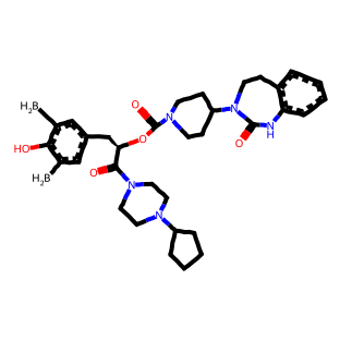 Bc1cc(C[C@@H](OC(=O)N2CCC(N3CCc4ccccc4NC3=O)CC2)C(=O)N2CCN(C3CCCC3)CC2)cc(B)c1O